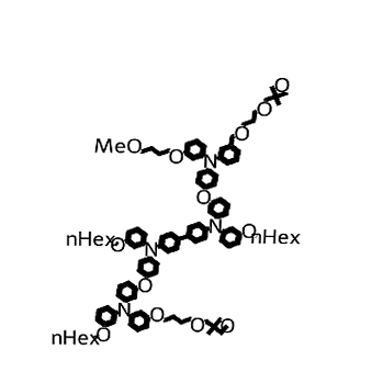 CCCCCCOc1cccc(N(c2ccc(Oc3cccc(N(c4cccc(OCCCCCC)c4)c4cccc(OCCCCOCC5(C)COC5)c4)c3)cc2)c2ccc(-c3ccc(N(c4cccc(OCCCCCC)c4)c4cccc(Oc5ccc(N(c6cccc(COCCCOCC7(C)COC7)c6)c6cccc(OCCCCOC)c6)cc5)c4)cc3)cc2)c1